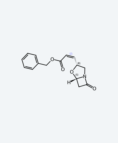 O=C(/C=C\[C@@H]1CN2C(=O)C[C@@H]2O1)OCc1ccccc1